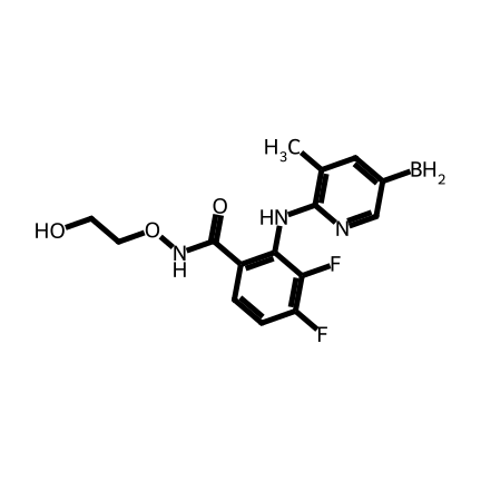 Bc1cnc(Nc2c(C(=O)NOCCO)ccc(F)c2F)c(C)c1